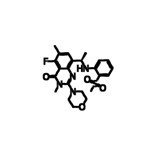 Cc1cc([C@@H](C)Nc2ccccc2S(C)(=O)=O)c2nc(N3CCOCC3)n(C)c(=O)c2c1F